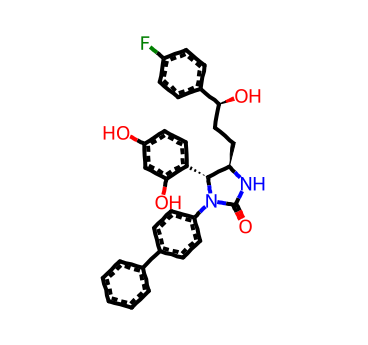 O=C1N[C@H](CC[C@H](O)c2ccc(F)cc2)[C@@H](c2ccc(O)cc2O)N1c1ccc(-c2ccccc2)cc1